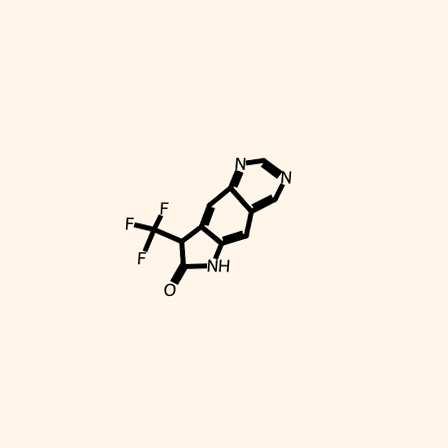 O=C1Nc2cc3cncnc3cc2C1C(F)(F)F